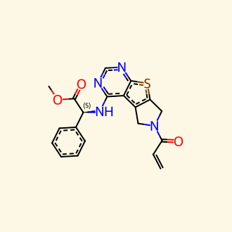 C=CC(=O)N1Cc2sc3ncnc(N[C@H](C(=O)OC)c4ccccc4)c3c2C1